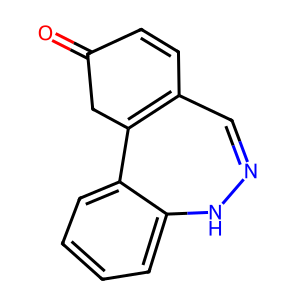 O=C1C=CC2=C(C1)c1ccccc1NN=C2